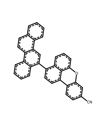 N#Cc1ccc2c(c1)Oc1cccc3c(-c4cc5c6ccccc6ccc5c5ccccc45)ccc-2c13